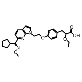 CCOC(Cc1ccc(OCCn2ccc3ccc(C(=NOC)C4CCCC4)nc32)cc1)C(=O)O